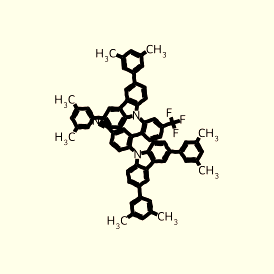 Cc1cc(C)cc(-c2ccc3c(c2)c2cc(-c4cc(C)cc(C)c4)ccc2n3-c2ccc(C#N)cc2-c2ccc(C(F)(F)F)cc2-n2c3ccc(-c4cc(C)cc(C)c4)cc3c3cc(-c4cc(C)cc(C)c4)ccc32)c1